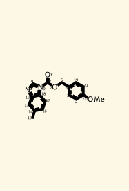 COc1ccc(COC(=O)n2cnc3cc(C)ccc32)cc1